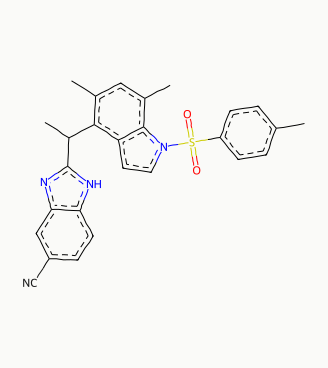 Cc1ccc(S(=O)(=O)n2ccc3c(C(C)c4nc5cc(C#N)ccc5[nH]4)c(C)cc(C)c32)cc1